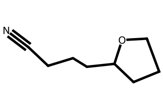 N#CCCCC1CCCO1